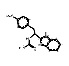 COc1ccc(CC(NC(N)=O)c2nc3ccccc3[nH]2)cc1